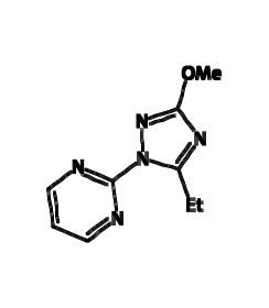 CCc1nc(OC)nn1-c1ncccn1